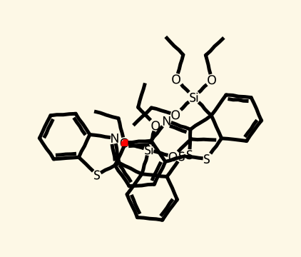 CCO[Si](OCC)(OCC)C1(c2nc3ccccc3s2)C=CC=CC1SSC1C=CC=CC1(c1nc2ccccc2s1)[Si](OCC)(OCC)OCC